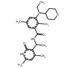 CCN(c1cc(C)cc(C(=O)NC(C)c2c(C)cc(C)[nH]c2=O)c1C)C1CCOCC1